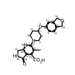 Cc1c(N2CCC(Oc3ccc4c(c3)COC4)CC2)nc2c(c1C(=O)O)C(=O)NC2